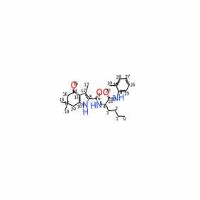 CCCCC(NC(=O)c1[nH]c2c(c1C)C(=O)CC(C)(C)C2)C(=O)Nc1ccccc1C